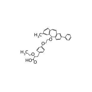 CCOC(Cc1ccc(OCCOC2c3ccc(-c4ccccc4)cc3C=Cc3ccc(C)cc32)cc1)C(=O)O